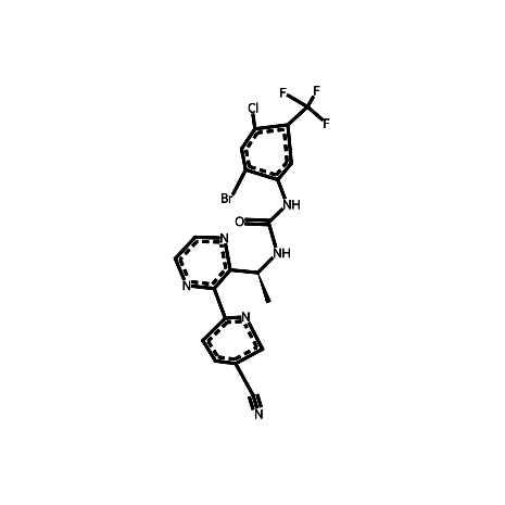 C[C@H](NC(=O)Nc1cc(C(F)(F)F)c(Cl)cc1Br)c1nccnc1-c1ccc(C#N)cn1